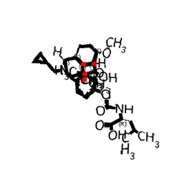 CO[C@@]12CC[C@@]3(C[C@@H]1[C@@](C)(O)C(C)(C)C)[C@H]1Cc4ccc(OC(=O)N[C@H](CC(C)C)C(=O)O)c5c4[C@@]3(CCN1CC1CC1)C2O5